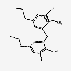 CCCc1cc(C)c(O)c(Cc2cc(CCC)cc(C)c2O)c1